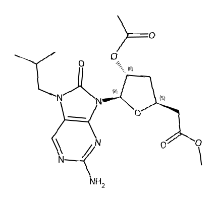 COC(=O)C[C@@H]1C[C@@H](OC(C)=O)[C@H](n2c(=O)n(CC(C)C)c3cnc(N)nc32)O1